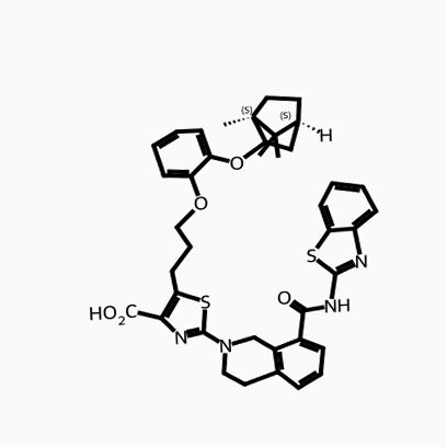 CC1(C)[C@H]2CC[C@]1(C)C(Oc1ccccc1OCCCc1sc(N3CCc4cccc(C(=O)Nc5nc6ccccc6s5)c4C3)nc1C(=O)O)C2